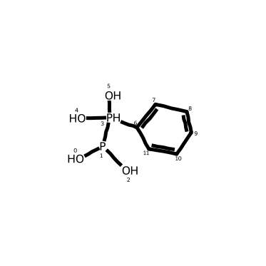 OP(O)[PH](O)(O)c1ccccc1